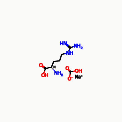 N=C(N)NCCC[C@H](N)C(=O)O.O=C([O-])O.[Na+]